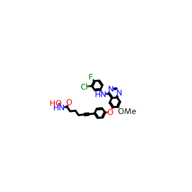 COc1cc2ncnc(Nc3ccc(F)c(Cl)c3)c2cc1Oc1ccc(C#CCCCC(=O)NO)cc1